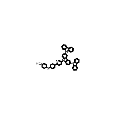 O[C@H]1C=CC(SC2C=CC(c3ccc(-n4c5ccc(-n6c7ccccc7c7ccccc76)cc5c5cc(-n6c7ccccc7c7ccccc76)ccc54)cn3)CC2)CC1